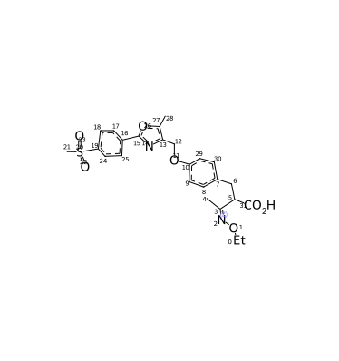 CCO/N=C(/C)C(Cc1ccc(OCc2nc(-c3ccc(S(C)(=O)=O)cc3)oc2C)cc1)C(=O)O